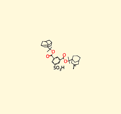 C[C@@H]1CC2CCCC(C(C)(C)OC(=O)c3cc(C(=O)OC(C)(C)C45CC6CC(CC(C6)C4)C5)cc(S(=O)(=O)O)c3)(C2)C1